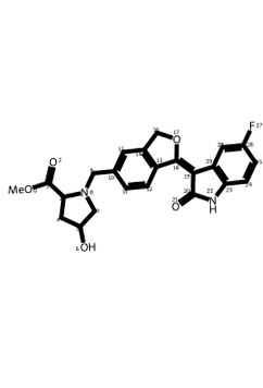 COC(=O)C1CC(O)CN1Cc1ccc2c(c1)COC2=C1C(=O)Nc2ccc(F)cc21